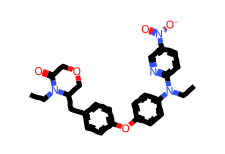 CCN(c1ccc(Oc2ccc(CC3COCC(=O)N3CC)cc2)cc1)c1ccc([N+](=O)[O-])cn1